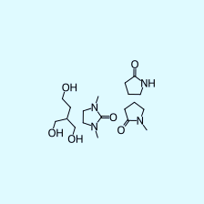 CN1CCCC1=O.CN1CCN(C)C1=O.O=C1CCCN1.OCCC(CO)CO